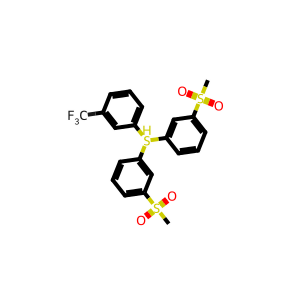 CS(=O)(=O)c1cccc([SH](c2cccc(C(F)(F)F)c2)c2cccc(S(C)(=O)=O)c2)c1